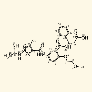 COCCOc1ccc(NC(=O)c2sc(NC(=N)N)nc2C)cc1C(=O)NC(CC(=O)O)c1ccccc1